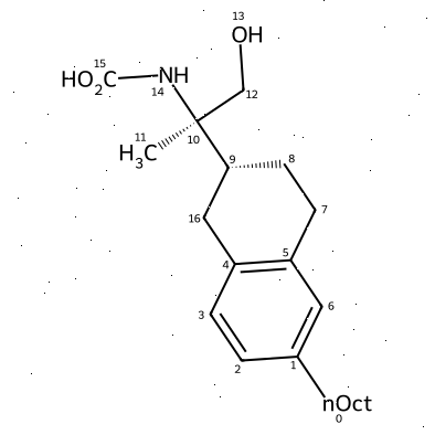 CCCCCCCCc1ccc2c(c1)CC[C@@H]([C@](C)(CO)NC(=O)O)C2